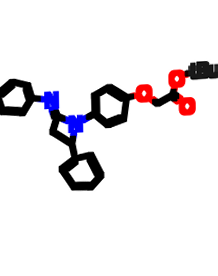 CC(C)(C)OC(=O)COc1ccc(N2C(=Nc3ccccc3)CC2c2ccccc2)cc1